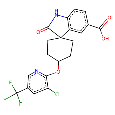 O=C(O)c1ccc2c(c1)C1(CCC(Oc3ncc(C(F)(F)F)cc3Cl)CC1)C(=O)N2